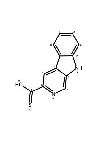 OC(=S)c1cc2c(cn1)[nH]c1ccccc12